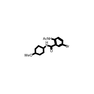 COC1CCC(NC(=O)c2cc(Br)ccc2NC(C)=O)CC1